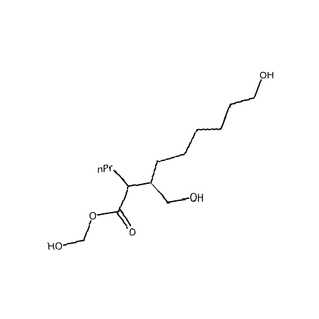 CCCC(C(=O)OCO)C(CO)CCCCCCO